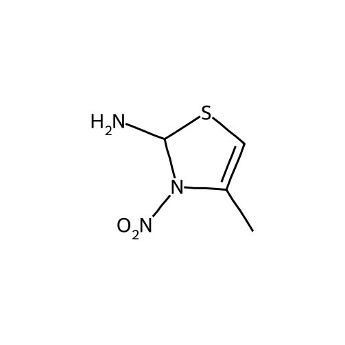 CC1=CSC(N)N1[N+](=O)[O-]